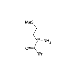 CSCC[C@H](N)C(=O)C(C)C